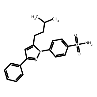 CC(C)CCc1cc(-c2ccccc2)nn1-c1ccc(S(N)(=O)=O)cc1